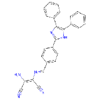 N#C/C(N)=C(C#N)/N=C/c1ccc(-c2nc(-c3ccccc3)c(-c3ccccc3)[nH]2)cc1